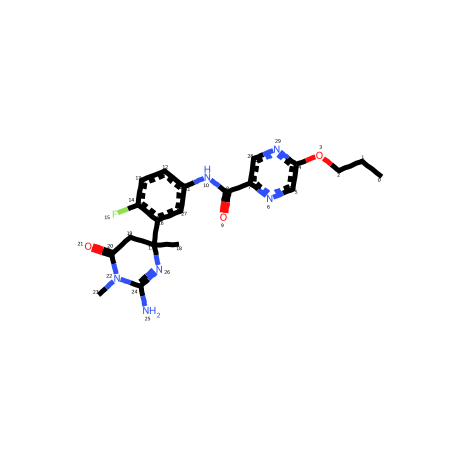 CCCOc1cnc(C(=O)Nc2ccc(F)c(C3(C)CC(=O)N(C)C(N)=N3)c2)cn1